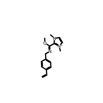 C=Cc1ccc(C/N=C(\OC)c2n(C)cc[n+]2C)cc1